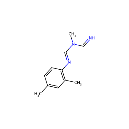 Cc1ccc(N=CN(C)C=N)c(C)c1